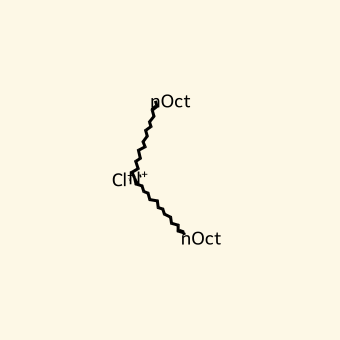 CCCCCCCCC=CCCCCCCCCCCCC[N+](C)(C)CCCCCCCCCCCCC=CCCCCCCCC.[Cl-]